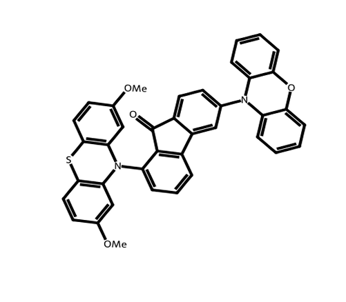 COc1ccc2c(c1)N(c1cccc3c1C(=O)c1ccc(N4c5ccccc5Oc5ccccc54)cc1-3)c1cc(OC)ccc1S2